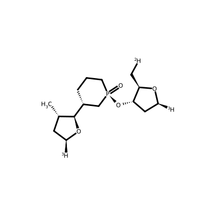 [2H]C[C@H]1O[C@@H]([3H])C[C@@H]1O[P@]1(=O)CCC[C@@H]([C@H]2O[C@@H]([3H])C[C@@H]2C)C1